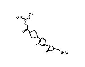 CC(=O)NCC1CN(c2ccc(N3CCN(C(=O)CSN(C=O)OC(C)(C)C)CC3)c(F)c2)C(=O)O1